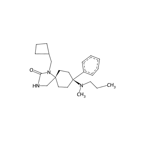 CCCN(C)[C@]1(c2ccccc2)CC[C@@]2(CC1)CNC(=O)N2CC1CCC1